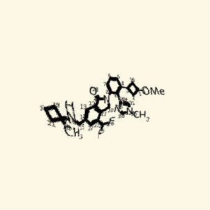 CO[C@H]1C[C@@H](c2cccc(N3Cc4c(cc(CNC5(C)CCC5)cc4C(F)F)C3=O)c2-[n+]2cn(C)cn2)C1